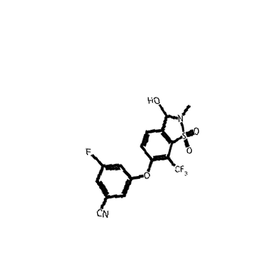 CN1C(O)c2ccc(Oc3cc(F)cc(C#N)c3)c(C(F)(F)F)c2S1(=O)=O